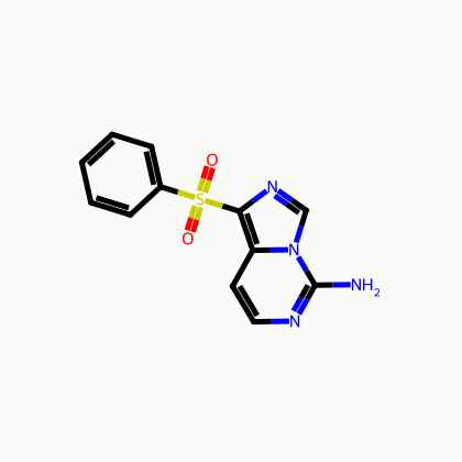 Nc1nccc2c(S(=O)(=O)c3ccccc3)ncn12